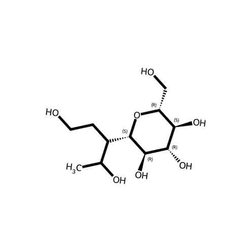 CC(O)C(CCO)[C@@H]1O[C@H](CO)[C@@H](O)[C@H](O)[C@H]1O